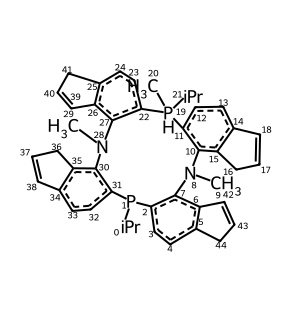 CC(C)P1c2ccc3c(c2N(C)c2c(ccc4c2CC=C4)[PH](C)(C(C)C)c2ccc4c(c2N(C)c2c1ccc1c2CC=C1)C=CC4)C=CC3